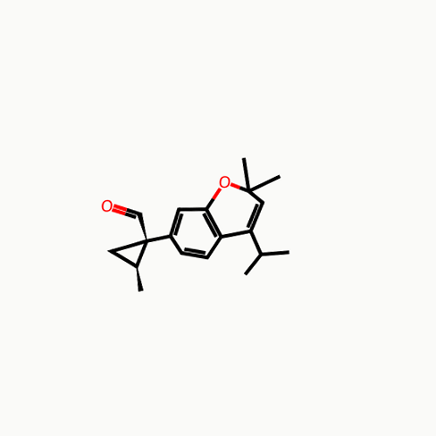 CC(C)C1=CC(C)(C)Oc2cc([C@@]3(C=O)C[C@@H]3C)ccc21